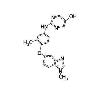 Cc1cc(Nc2ncc(O)cn2)ccc1Oc1ccc2c(c1)ncn2C